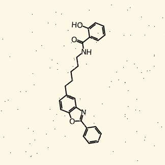 O=C(NCCCCCc1ccc2oc(-c3ccccc3)nc2c1)c1ccccc1O